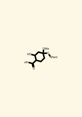 CCCCCOC1(OC)CCC(C(=O)CCC)C(O)C1